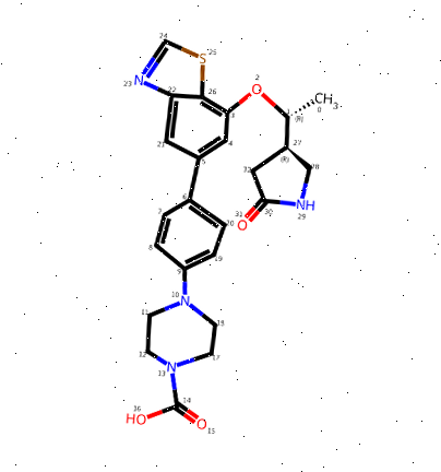 C[C@@H](Oc1cc(-c2ccc(N3CCN(C(=O)O)CC3)cc2)cc2ncsc12)[C@H]1CNC(=O)C1